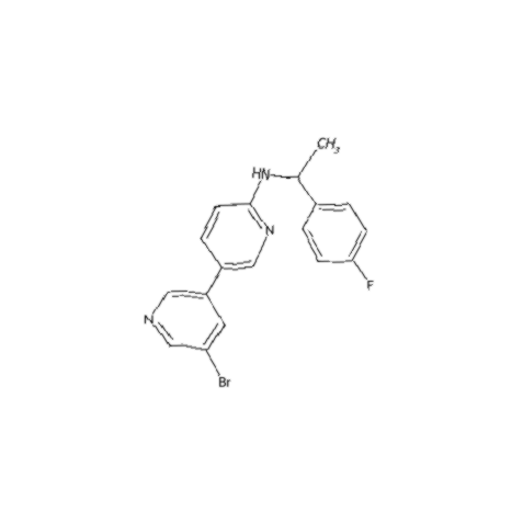 CC(Nc1ccc(-c2cncc(Br)c2)cn1)c1ccc(F)cc1